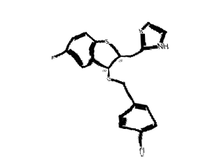 Fc1ccc2c(c1)[C@H](OCc1ccc(Cl)cc1)[C@H](Cc1ncc[nH]1)S2